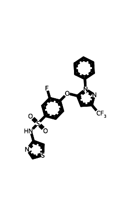 O=S(=O)(Nc1cscn1)c1ccc(Oc2cc(C(F)(F)F)nn2-c2ccccc2)c(F)c1